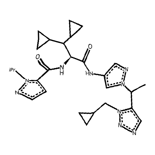 CC(c1cnnn1CC1CC1)n1cc(NC(=O)[C@@H](NC(=O)c2ccnn2C(C)C)C(C2CC2)C2CC2)cn1